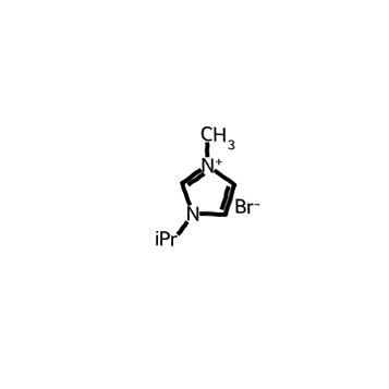 CC(C)n1cc[n+](C)c1.[Br-]